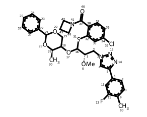 CO[C@@H](Cn1cc(-c2ccc(C)c(F)c2)nn1)C(OC1COC(c2ccccc2)O[C@@H]1C)Sc1cc(Cl)ccc1C(=O)N1CCC1